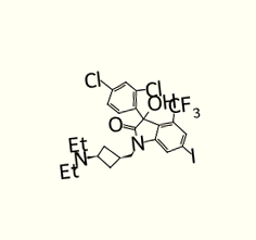 CCN(CC)[C@H]1C[C@@H](CN2C(=O)C(O)(c3ccc(Cl)cc3Cl)c3c2cc(I)cc3C(F)(F)F)C1